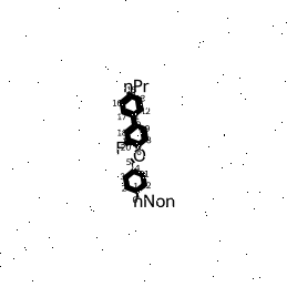 CCCCCCCCC[C@H]1CC[C@H](COc2ccc(-c3ccc(CCC)cc3)cc2F)CC1